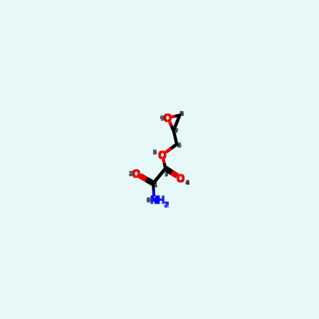 NC(=O)C(=O)OCC1CO1